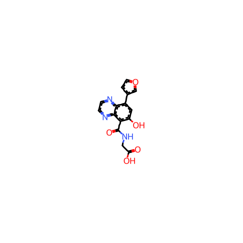 O=C(O)CNC(=O)c1c(O)cc(-c2ccoc2)c2nccnc12